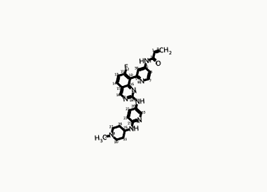 C=CC(=O)Nc1ccnc(-c2c(F)ccc3cnc(Nc4ccc(NC5CCN(C)CC5)nc4)nc23)c1